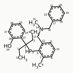 CCC(CC)(Pc1c(C)cccc1CN(C)Cc1ccccc1)c1ccccc1O